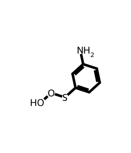 Nc1cccc(SOO)c1